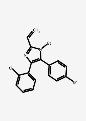 C=Cc1nc(-c2ccccc2Cl)c(-c2ccc(Br)cc2)n1CC